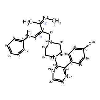 C/N=C(C)\C(=C/Nc1ccccc1)CN1CCN(c2nccnc2-c2ccc(F)cc2)CC1